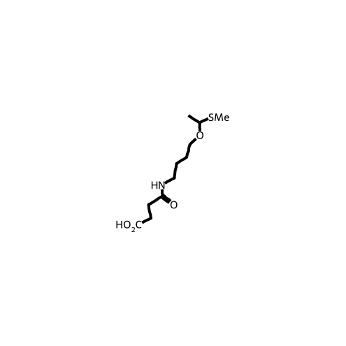 CSC(C)OCCCCNC(=O)CCC(=O)O